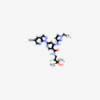 CC(C)(O)C(F)CNC(=O)c1cnc(-n2ncc3cc(C#N)cnc32)cc1Nc1ccn(CC(F)(F)F)n1